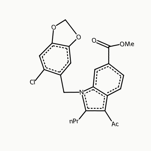 CCCc1c(C(C)=O)c2ccc(C(=O)OC)cc2n1Cc1cc2c(cc1Cl)OCO2